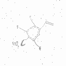 C=Cc1cc(F)c(C(=O)OCC)c(F)c1F